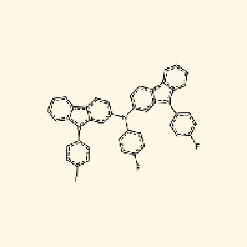 Fc1ccc(N(c2ccc3c4ccccc4n(-c4ccc(F)cc4)c3c2)c2ccc3c4ccccc4n(-c4ccc(F)cc4)c3c2)cc1